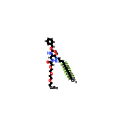 COCCOCCOCCOCC(=O)NCC(NC(=O)OCc1ccccc1)C(=O)NCCCC(F)(F)C(F)(F)C(F)(F)C(F)(F)C(F)(F)C(F)(F)C(F)(F)C(F)(F)F